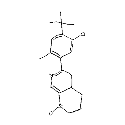 Cc1cc(C(C)(C)C)c(Cl)cc1C1=NC=C2C(CCC[S+]2[O-])C1